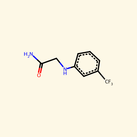 NC(=O)CNc1cccc(C(F)(F)F)c1